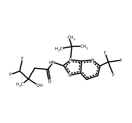 CC(O)(CC(=O)Nc1nc2ccc(C(F)(F)F)nc2n1C(C)(C)C)C(F)F